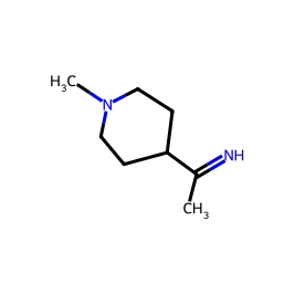 CC(=N)C1CCN(C)CC1